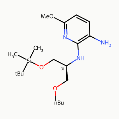 CCCCOC[C@@H](CO[Si](C)(C)C(C)(C)C)Nc1nc(OC)ccc1N